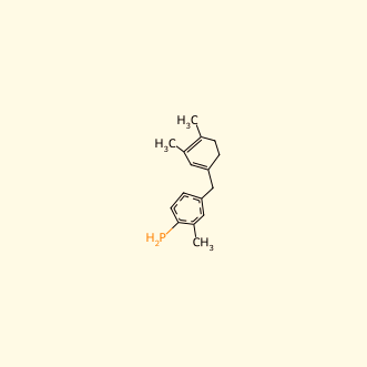 CC1=C(C)CCC(Cc2ccc(P)c(C)c2)=C1